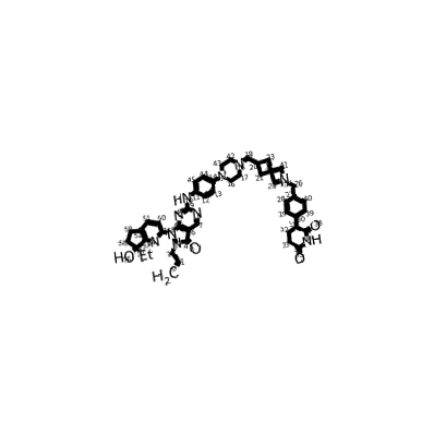 C=CCn1c(=O)c2cnc(Nc3ccc(N4CCN(CC5CC6(C5)CN(Cc5ccc(C7CCC(=O)NC7=O)cc5)C6)CC4)cc3)nc2n1-c1ccc2c(n1)[C@@](O)(CC)CC2